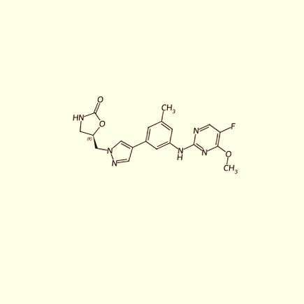 COc1nc(Nc2cc(C)cc(-c3cnn(C[C@H]4CNC(=O)O4)c3)c2)ncc1F